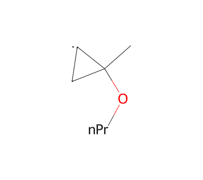 CCCOC1(C)[CH]C1